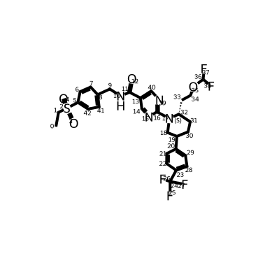 CCS(=O)(=O)c1ccc(CNC(=O)c2cnc(N3CC(c4ccc(C(F)(F)F)cc4)CC[C@H]3CCOC(F)F)nc2)cc1